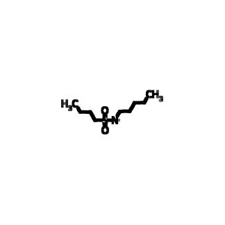 CCCCC[N]S(=O)(=O)CCCC